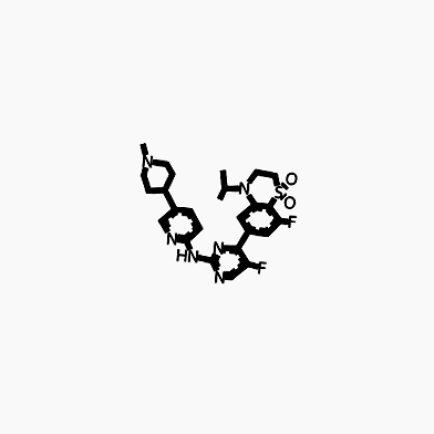 CC(C)N1CCS(=O)(=O)c2c(F)cc(-c3nc(Nc4ccc(C5CCN(C)CC5)cn4)ncc3F)cc21